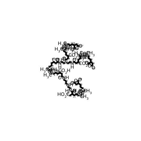 C[Si](C)(CCCC(CC(=O)NCCCNCCNC(=O)C(CCC[Si](C)(C)O[Si](C)(C)CCCC1CC(=O)OC1=O)CC(=O)O)C(=O)O)O[Si](C)(C)CCCC(CC(=O)NCCN(CCNC(=O)CC(CCC[Si](C)(C)O[Si](C)(C)CCCC1CC(=O)OC1=O)C(=O)O)C(=O)CC(CCC[Si](C)(C)O[Si](C)(C)CCCC1CC(=O)OC1=O)C(=O)O)C(=O)O